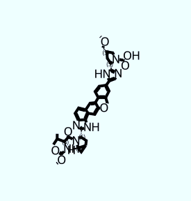 COC[C@H]1C[C@@H](c2ncc(-c3ccc4c(c3)COc3cc5c(ccc6nc([C@@H]7CC8C[C@H]8N7C(=O)[C@@H](NC(=O)OC)C(C)C)[nH]c65)cc3-4)[nH]2)N(C(=O)O)C1